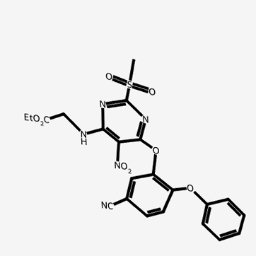 CCOC(=O)CNc1nc(S(C)(=O)=O)nc(Oc2cc(C#N)ccc2Oc2ccccc2)c1[N+](=O)[O-]